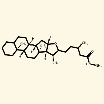 CC(CCC1O[C@H]2C[C@H]3[C@@H]4CCC5CCCC[C@]5(C)[C@H]4CC[C@]3(C)[C@H]2[C@@H]1C)CC(=O)NN